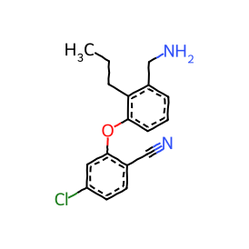 CCCc1c(CN)cccc1Oc1cc(Cl)ccc1C#N